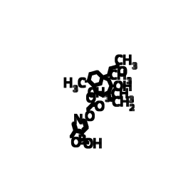 C=C[C@]1(C)C[C@@H](OC(=O)COc2cc3c(cn2)COB3O)[C@@]2(C)C[C@](CCC(C)=O)(CC[C@H]2C)[C@@H](C)[C@@H]1O